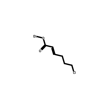 CCOC(=O)C=CCCCCl